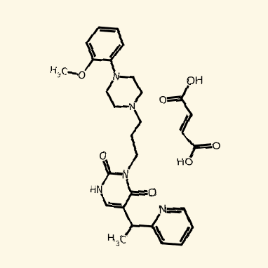 COc1ccccc1N1CCN(CCCn2c(=O)[nH]cc(C(C)c3ccccn3)c2=O)CC1.O=C(O)/C=C/C(=O)O